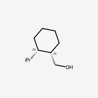 CC(C)[C@@H]1CCCC[C@@H]1CO